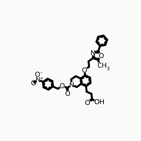 Cc1oc(-c2ccccc2)nc1CCOc1ccc(CCC(=O)O)c2c1CCN(C(=O)OCc1ccc([N+](=O)[O-])cc1)C2